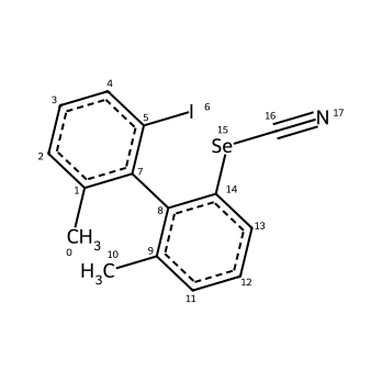 Cc1cccc(I)c1-c1c(C)cccc1[Se]C#N